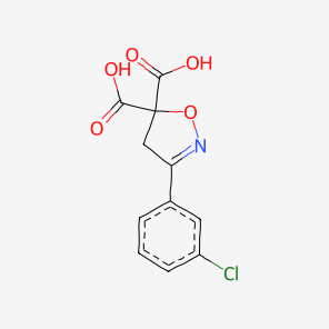 O=C(O)C1(C(=O)O)CC(c2cccc(Cl)c2)=NO1